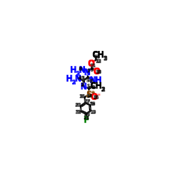 C=C(/N=C(/N)C(=N)N(N)C(=O)OCC)[S+]([O-])Cc1ccc(F)cc1